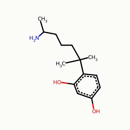 CC(N)CCCC(C)(C)c1ccc(O)cc1O